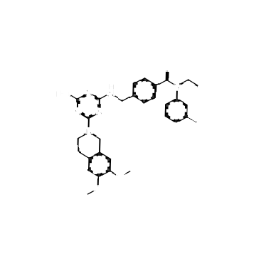 CCN(C(=O)c1ccc(CNc2nc(O)nc(N3CCc4cc(OC)c(OC)cc4C3)n2)cc1)c1cccc(C)c1